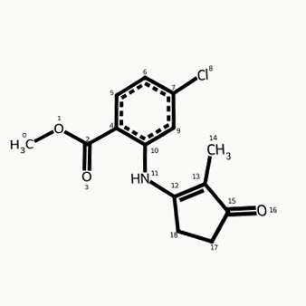 COC(=O)c1ccc(Cl)cc1NC1=C(C)C(=O)CC1